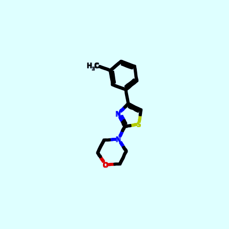 Cc1cccc(-c2csc(N3CCOCC3)n2)c1